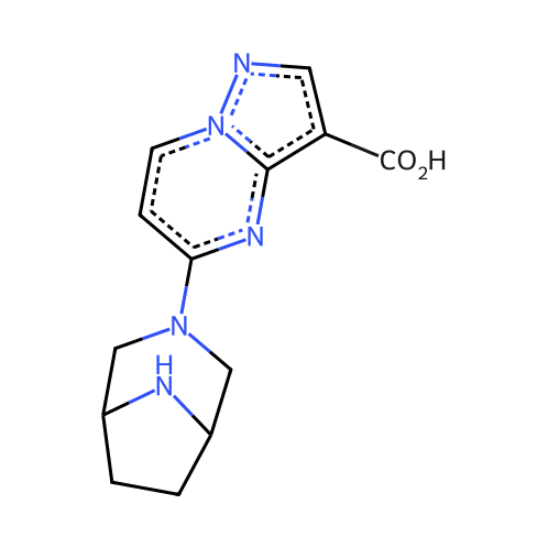 O=C(O)c1cnn2ccc(N3CC4CCC(C3)N4)nc12